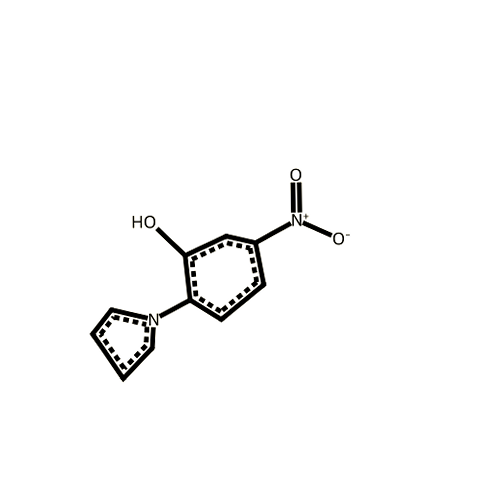 O=[N+]([O-])c1ccc(-n2cccc2)c(O)c1